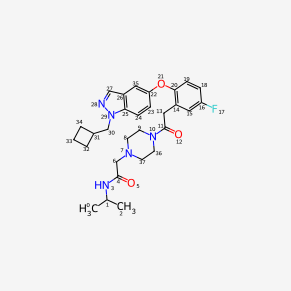 CC(C)NC(=O)CN1CCN(C(=O)Cc2cc(F)ccc2Oc2ccc3c(cnn3CC3CCC3)c2)CC1